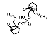 COC[C@@]1(COP(=O)(O)OC[C@]2(COC)C(=O)C3CCN2CC3)C(=O)C2CCN1CC2